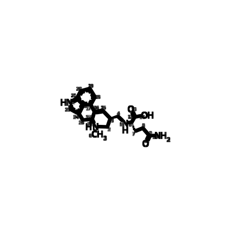 CN1C[C@H](CN[C@@H](CCC(N)=O)C(=O)O)C=C2c3cccc4[nH]cc(c34)C[C@H]21